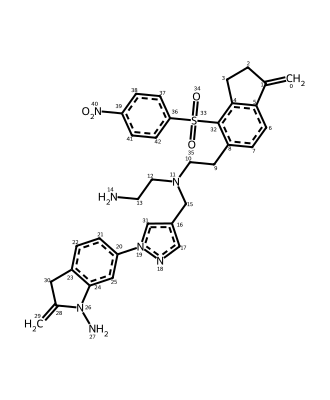 C=C1CCc2c1ccc(CCN(CCN)Cc1cnn(-c3ccc4c(c3)N(N)C(=C)C4)c1)c2S(=O)(=O)c1ccc([N+](=O)[O-])cc1